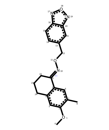 COc1cc2c(cc1C)/C(=N/OCc1ccc3nonc3c1)CCC2